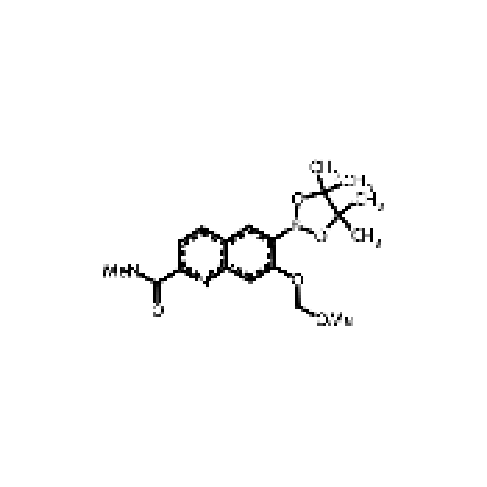 CNC(=O)c1ccc2cc(B3OC(C)(C)C(C)(C)O3)c(OCOC)cc2n1